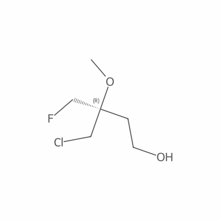 CO[C@](CF)(CCl)CCO